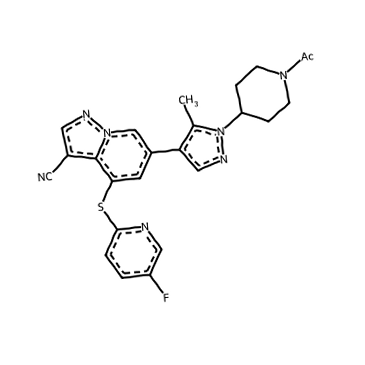 CC(=O)N1CCC(n2ncc(-c3cc(Sc4ccc(F)cn4)c4c(C#N)cnn4c3)c2C)CC1